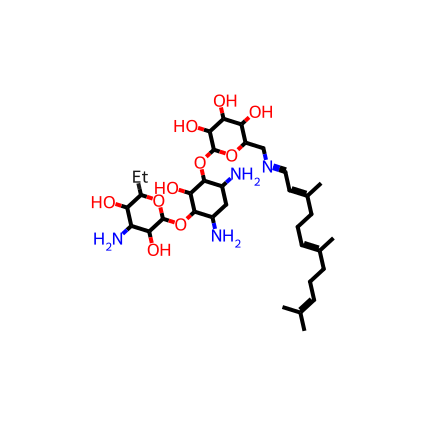 CCC1OC(OC2C(N)CC(N)C(OC3OC(C/N=C/C=C(\C)CC/C=C(\C)CCC=C(C)C)C(O)C(O)C3O)C2O)C(O)C(N)C1O